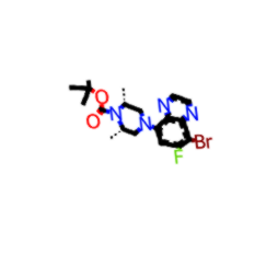 C[C@@H]1CN(c2cc(F)c(Br)c3nccnc23)C[C@H](C)N1C(=O)OC(C)(C)C